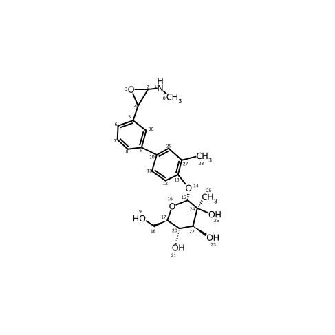 CNC1OC1c1cccc(-c2ccc(O[C@H]3O[C@H](CO)[C@@H](O)[C@H](O)[C@]3(C)O)c(C)c2)c1